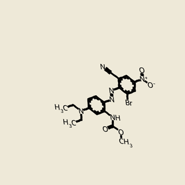 CCN(CC)c1ccc(N=Nc2c(Br)cc([N+](=O)[O-])cc2C#N)c(NC(=O)OC)c1